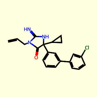 C=CCN1C(=N)NC(c2cccc(-c3cccc(Cl)c3)c2)(C2CC2)C1=O